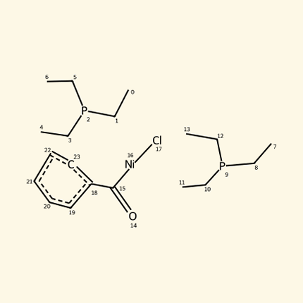 CCP(CC)CC.CCP(CC)CC.O=[C]([Ni][Cl])c1ccccc1